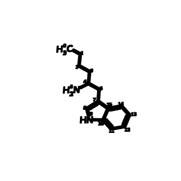 CCCCC(N)Cc1c[nH]c2ccccc12